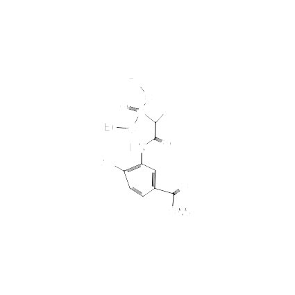 CCOP(=O)(OCC)C(F)C(=O)Nc1cc(C(=O)OC)ccc1C(C)=O